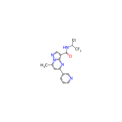 CCC(NC(=O)c1cnn2c(C)cc(-c3cccnc3)nc12)C(F)(F)F